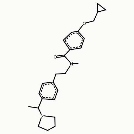 CC(c1ccc(CCN(C)C(=O)c2ccc(OCC3CC3)cc2)cc1)N1CCCC1